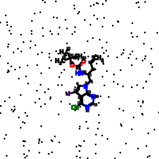 C=CCC(Cn1cc(I)c2c(Cl)ncnc21)NC(=O)OC(C)(C)C